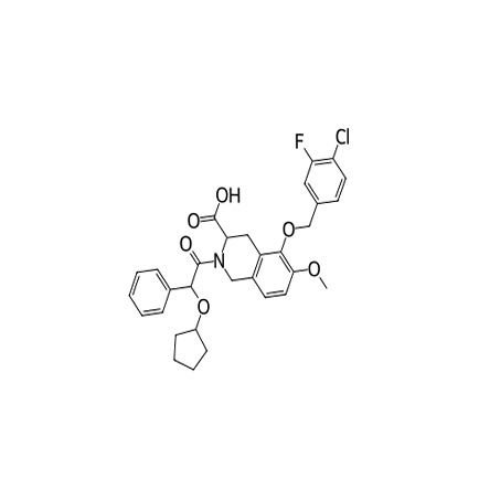 COc1ccc2c(c1OCc1ccc(Cl)c(F)c1)CC(C(=O)O)N(C(=O)C(OC1CCCC1)c1ccccc1)C2